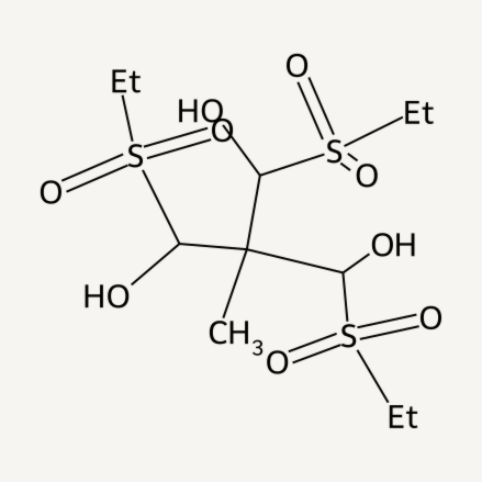 CCS(=O)(=O)C(O)C(C)(C(O)S(=O)(=O)CC)C(O)S(=O)(=O)CC